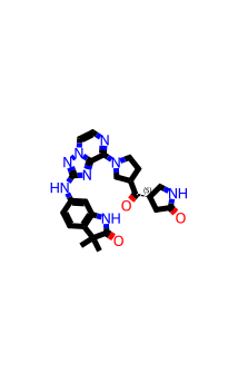 CC1(C)C(=O)Nc2cc(Nc3nc4c(N5CCC(C(=O)[C@@H]6CNC(=O)C6)C5)nccn4n3)ccc21